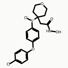 O=C(CC1([S+]([O-])c2ccc(Oc3ccc(Cl)cc3)cc2)CCOCC1)NO